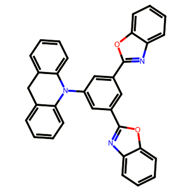 c1ccc2c(c1)Cc1ccccc1N2c1cc(-c2nc3ccccc3o2)cc(-c2nc3ccccc3o2)c1